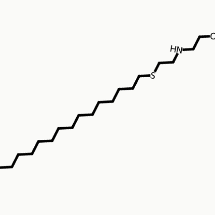 CCCCCCCCCCCCCCCCSCCNCCO